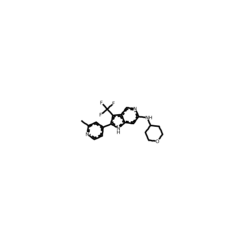 Cc1cc(-c2[nH]c3cc(NC4CCOCC4)ncc3c2C(F)(F)F)ccn1